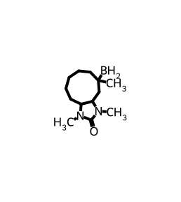 BC1(C)CCCCCC2C(C1)N(C)C(=O)N2C